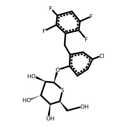 OC[C@@H]1S[C@H](Oc2ccc(Cl)cc2Cc2c(F)c(F)cc(F)c2F)[C@H](O)[C@@H](O)[C@@H]1O